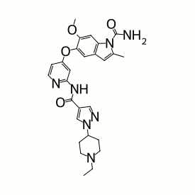 CCN1CCC(n2cc(C(=O)Nc3cc(Oc4cc5cc(C)n(C(N)=O)c5cc4OC)ccn3)cn2)CC1